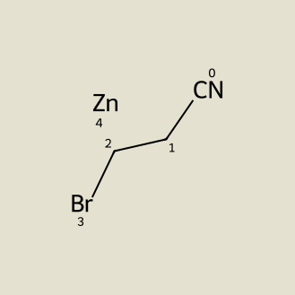 N#CCCBr.[Zn]